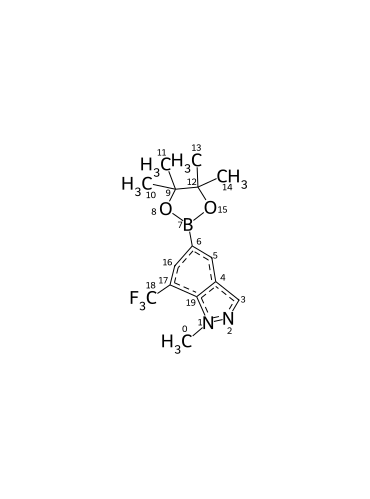 Cn1ncc2cc(B3OC(C)(C)C(C)(C)O3)cc(C(F)(F)F)c21